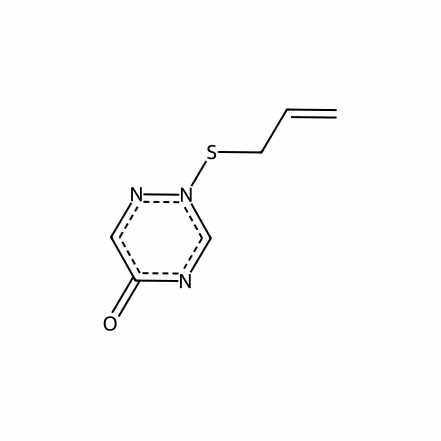 C=CCSn1cnc(=O)cn1